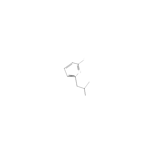 CC(C)[C@H](C)c1cccc(F)n1